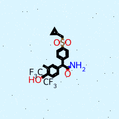 Cc1cc(C(C(N)=O)c2ccc(S(=O)(=O)CC3CC3)cc2)ccc1C(O)(C(F)(F)F)C(F)(F)F